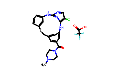 CN1CCN(C(=O)c2cc3cc(c2)Nc2nc(ncc2Cl)Nc2cccc(c2)CC3)CC1.O=C(O)C(F)(F)F